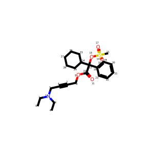 CCN(CC)CC#CCOC(=O)C(OS(C)(=O)=O)(c1ccccc1)C1CCCCC1